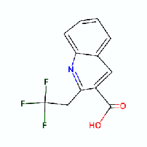 O=C(O)c1cc2ccccc2nc1CC(F)(F)F